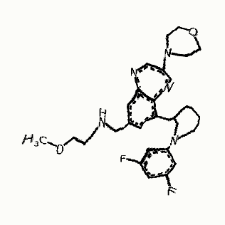 COCCNCc1cc(C2CCCN2c2cc(F)cc(F)c2)c2nc(N3CCOCC3)cnc2c1